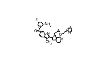 Cc1c(-c2cc3ccnc(OCCn4cncn4)c3n2CC2CC2)nn2cc(C(=O)N3C[C@H](N)C[C@@H](F)C3)ccc12